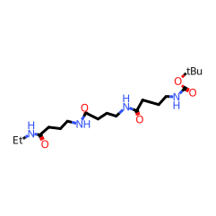 CCNC(=O)CCCNC(=O)CCCNC(=O)CCCNC(=O)OC(C)(C)C